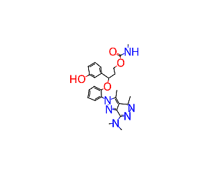 CNC(=O)OCCC(Oc1ccccc1-n1nc2c(N(C)C)nnc(C)c2c1C)c1cccc(O)c1